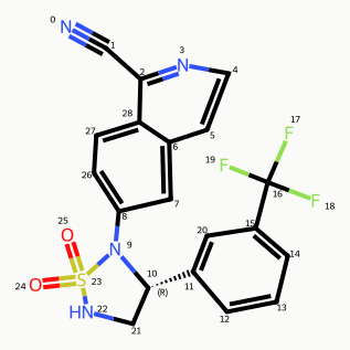 N#Cc1nccc2cc(N3[C@H](c4cccc(C(F)(F)F)c4)CNS3(=O)=O)ccc12